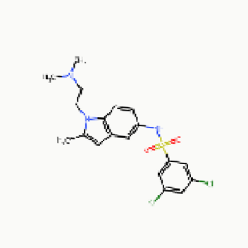 Cc1cc2cc(NS(=O)(=O)c3cc(Cl)cc(Cl)c3)ccc2n1CCN(C)C